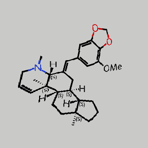 COc1cc(C=C2C[C@H]3[C@@H]4CCC[C@@]4(C)CC[C@@H]3[C@@]3(C)C=CCN(C)[C@H]23)cc2c1OCO2